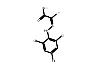 CCC(=NNc1c(Cl)cc(Cl)cc1Cl)C(=O)OCC(C)C